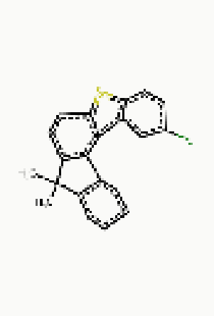 CC1(C)c2ccccc2-c2c1ccc1sc3ccc(Cl)cc3c21